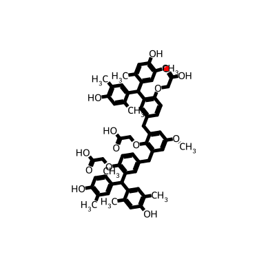 COc1cc(Cc2ccc(OCC(=O)O)c(C(c3cc(C)c(O)cc3C)c3cc(C)c(O)cc3C)c2)c(OCC(=O)O)c(Cc2ccc(OCC(=O)O)c(C(c3cc(C)c(O)cc3C)c3cc(C)c(O)cc3C)c2)c1